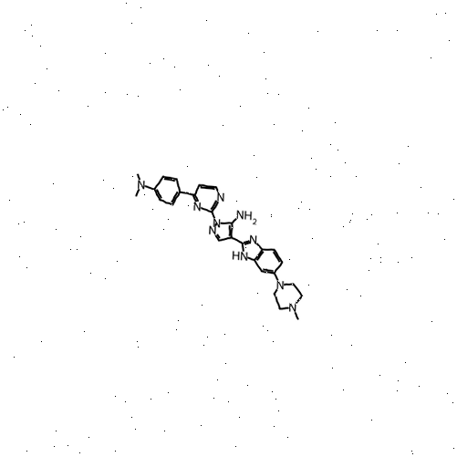 CN1CCN(c2ccc3nc(-c4cnn(-c5nccc(-c6ccc(N(C)C)cc6)n5)c4N)[nH]c3c2)CC1